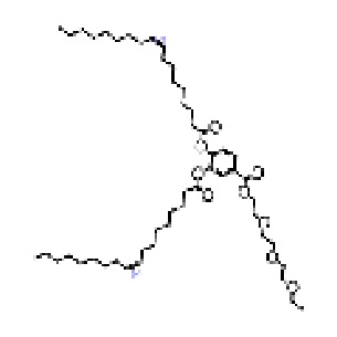 CCCCCCCC/C=C\CCCCCCCC(=O)Oc1ccc(C(=O)OCCOCCOCCOCC)cc1OC(=O)CCCCCCC/C=C\CCCCCCCC